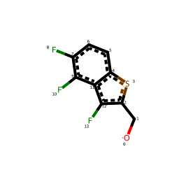 [O]Cc1sc2ccc(F)c(F)c2c1F